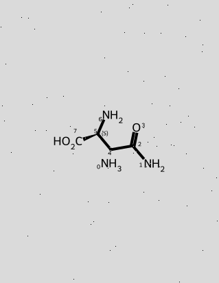 N.NC(=O)C[C@H](N)C(=O)O